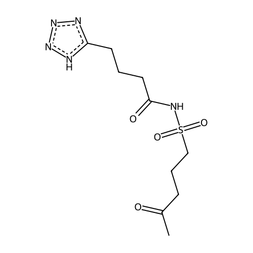 CC(=O)CCCS(=O)(=O)NC(=O)CCCc1nnn[nH]1